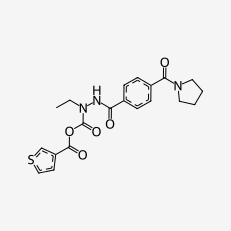 CCN(NC(=O)c1ccc(C(=O)N2CCCC2)cc1)C(=O)OC(=O)c1ccsc1